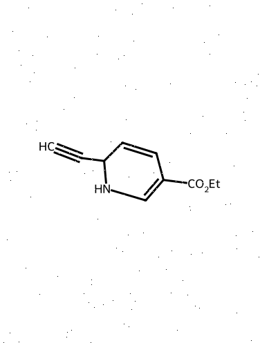 C#CC1C=CC(C(=O)OCC)=CN1